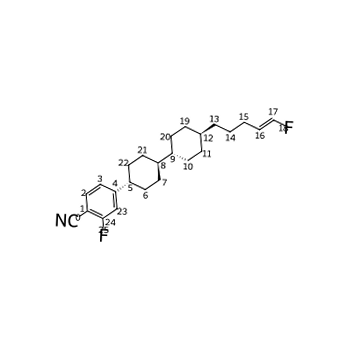 N#Cc1ccc([C@H]2CC[C@H]([C@H]3CC[C@H](CCCC=CF)CC3)CC2)cc1F